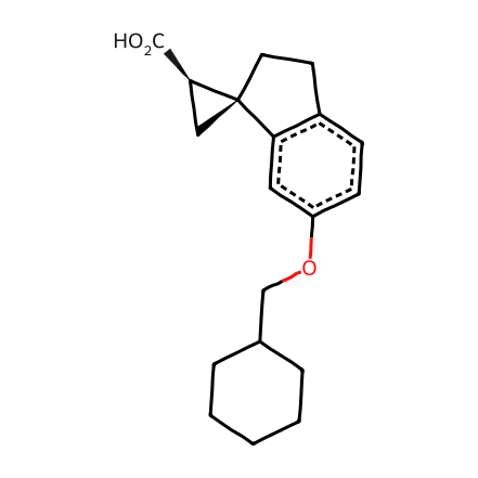 O=C(O)[C@@H]1C[C@]12CCc1ccc(OCC3CCCCC3)cc12